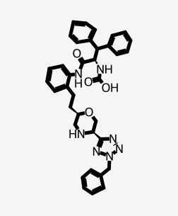 O=C(O)N[C@H](C(=O)Nc1ccccc1CC[C@@H]1CN[C@H](c2nnn(Cc3ccccc3)n2)CO1)C(c1ccccc1)c1ccccc1